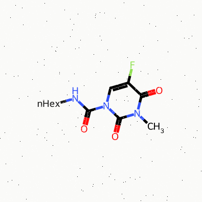 CCCCCCNC(=O)n1cc(F)c(=O)n(C)c1=O